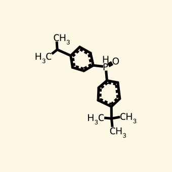 CC(C)c1ccc([PH](=O)c2ccc(C(C)(C)C)cc2)cc1